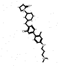 Cc1cc(OCCCN(C)C)ccc1-c1ccc(CC2CCCC(N3CCCC3=O)C2)c(Cl)c1